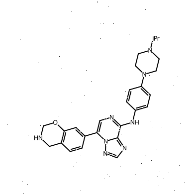 CC(C)N1CCN(c2ccc(Nc3ncc(-c4ccc5c(c4)OCNC5)n4ncnc34)cc2)CC1